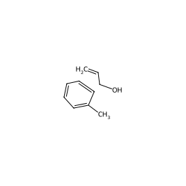 C=CCO.Cc1ccccc1